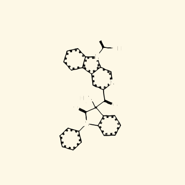 CC(=O)n1c2ccccc2c2cc(C(=O)C3(N)C(=O)N(c4ccccc4)c4ccccc43)ncc21